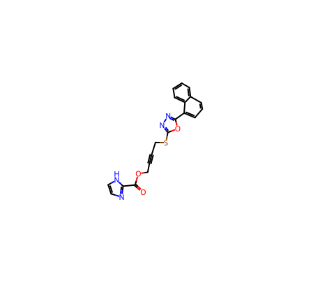 O=C(OCC#CCSc1nnc(-c2cccc3ccccc23)o1)c1ncc[nH]1